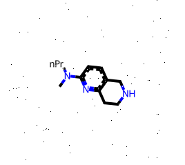 CCCN(C)c1ccc2c(n1)CCNC2